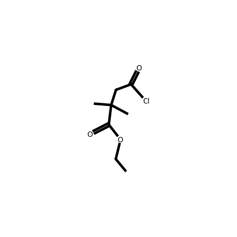 CCOC(=O)C(C)(C)CC(=O)Cl